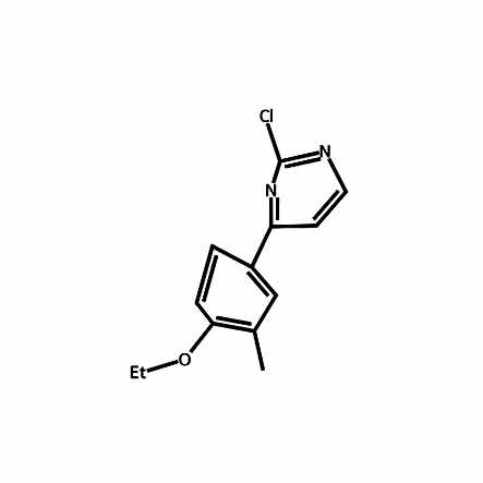 CCOc1ccc(-c2ccnc(Cl)n2)cc1C